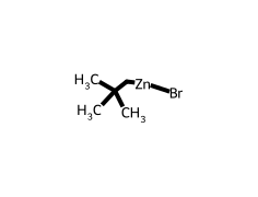 CC(C)(C)[CH2][Zn][Br]